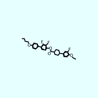 CCCCOc1ccc(-c2ccc(OC(=O)C3CCC(c4ccc(OCC)c(F)c4)CC3)c(F)c2F)cc1